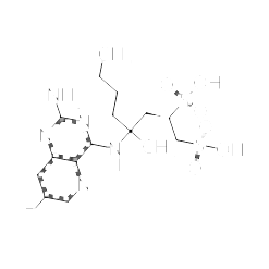 CCCCC(C)(C[C@H](CS(=O)(=O)O)S(=O)(=O)O)Nc1nc(N)nc2cc(F)cnc12